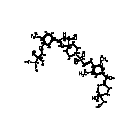 Cc1cc(C(=O)N2CCC(O)(CF)CC2)cc(C)c1C=CS(=O)(=O)N1CCC2(CC1)N=C(c1ccc(C(F)(F)F)c(OCC(F)(F)C(F)F)c1)NC2=O